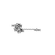 CCCCCCCCCCCCCCCCCCCCCCCC(=O)N[C@@H](COC1OC(CO)C(O)C(O)C1O)[C@H](O)[C@H](O)CC